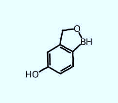 Oc1ccc2c(c1)COB2